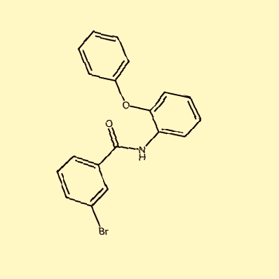 O=C(Nc1ccccc1Oc1ccccc1)c1cccc(Br)c1